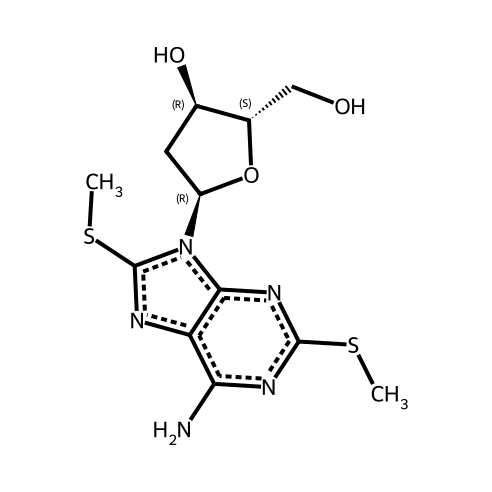 CSc1nc(N)c2nc(SC)n([C@H]3C[C@@H](O)[C@H](CO)O3)c2n1